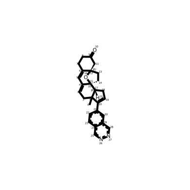 CC12CC=C3C=C4CCC(=O)C[C@]45CC[C@]3(O5)[C@@H]1CC=C2c1ccc2cnncc2c1